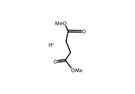 COC(=O)CCC(=O)OC.[H+]